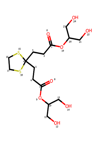 O=C(CCC1(CCC(=O)OC(CO)CO)SCCS1)OC(CO)CO